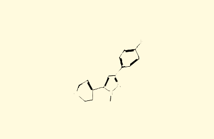 Cn1nc(-c2ccc(F)cc2)cc1C1=CCOCC1